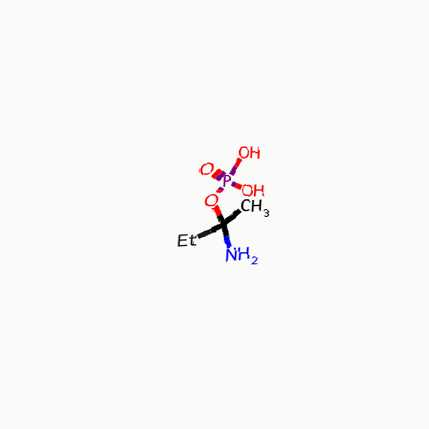 CCC(C)(N)OP(=O)(O)O